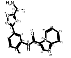 Cc1ccc(-c2noc([C@@H](C)N)n2)cc1NC(=O)c1cnc2ccccn12